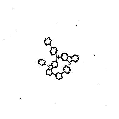 c1ccc(-c2ccc(N(c3ccc4c(c3)sc3ccccc34)c3ccc4c5c(-c6cccc(-c7ccccc7)c6)cccc5n(-c5ccccc5)c4c3)cc2)cc1